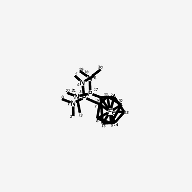 CN(C)P(N(C)C)[C]12[CH]3[CH]4[CH]5[CH]1[Fe]45321678[CH]2[CH]1[CH]6[C]7(P(N(C)C)N(C)C)[CH]28